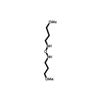 COCCCNONCCCOC